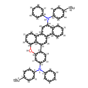 CC(C)(C)c1ccc(N(c2ccccc2)c2ccc3c(c2)Oc2cccc4c2c-3cc2c3ccccc3c(N(c3ccccc3)c3ccc(C(C)(C)C)cc3)cc42)cc1